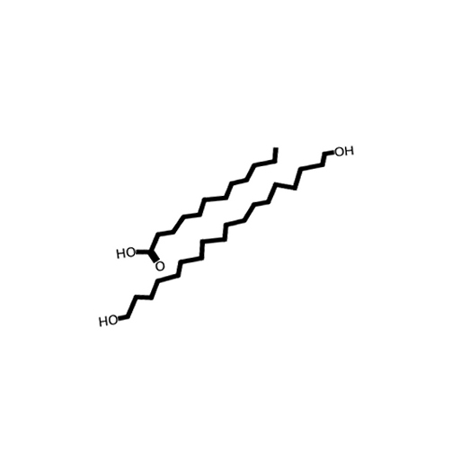 CCCCCCCCCCCC(=O)O.OCCCCCCCCCCCCCCCCCCO